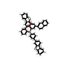 c1cc(-c2ccc3ccccc3c2)cc(N(c2ccc(-c3ccc4c(c3)oc3ccccc34)cc2)c2ccccc2-c2ccc3oc4ccccc4c3c2)c1